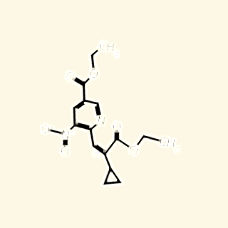 CCOC(=O)/C(=C\c1ncc(C(=O)OCC)cc1[N+](=O)[O-])C1CC1